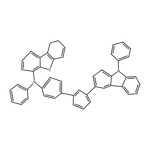 C1=Cc2sc3c(N(c4ccccc4)c4ccc(-c5cccc(-c6ccc7c(c6)c6ccccc6n7-c6ccccc6)c5)cc4)cccc3c2CC1